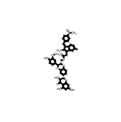 COc1cc(C2Oc3cc([C@@H]4Oc5cc(O)cc(O)c5C(=O)C4O)ccc3O[C@H]2COC(=O)CC2=C(C)/C(=C/c3ccc([S+](C)[O-])cc3)c3ccc(F)cc32)ccc1O